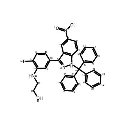 O=[N+]([O-])c1ccc2c(c1)c(-c1ccc(F)c(NCCO)c1)nn2C(c1ccccc1)(c1ccccc1)c1ccccc1